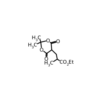 CCOC(=O)C(C)CC1C(=O)OC(C)(C)OC1=O